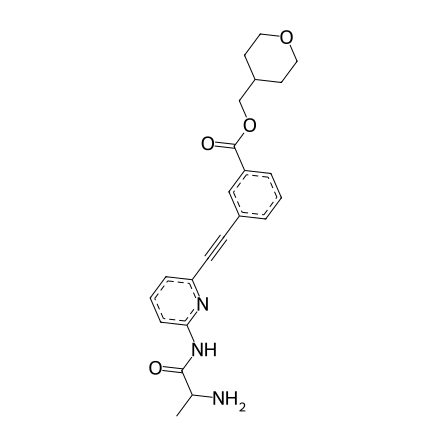 CC(N)C(=O)Nc1cccc(C#Cc2cccc(C(=O)OCC3CCOCC3)c2)n1